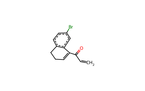 C=CC(=O)C1=CCCc2ccc(Br)cc21